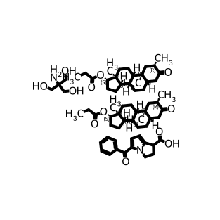 CCC(=O)O[C@H]1CC[C@H]2[C@@H]3CC[C@H]4CC(=O)[C@H](C)C[C@]4(C)[C@H]3CC[C@]12C.CCC(=O)O[C@H]1CC[C@H]2[C@@H]3CC[C@H]4CC(=O)[C@H](C)C[C@]4(C)[C@H]3CC[C@]12C.NC(CO)(CO)CO.O=C(c1ccccc1)c1ccc2n1CCC2C(=O)O